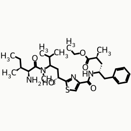 CCOC(=O)[C@@H](C)C[C@H](Cc1ccccc1)NC(=O)c1csc([C@H](O)CC(C(C)C)N(C)C(=O)[C@@H](N)[C@@H](C)CC)n1